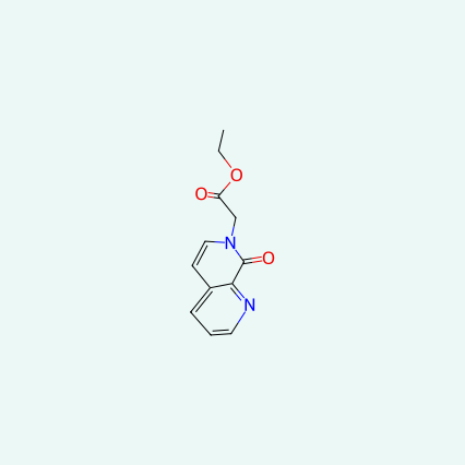 CCOC(=O)Cn1ccc2cccnc2c1=O